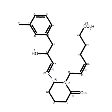 Cc1cccc(CC(O)/C=C/[C@H]2CCCC(=O)N2C/C=C\CCCC(=O)O)c1